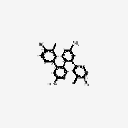 Cc1cc(-c2cc(N)ccc2-c2ccc(N)cc2-c2ccc(Br)c(C)c2)ccc1Br